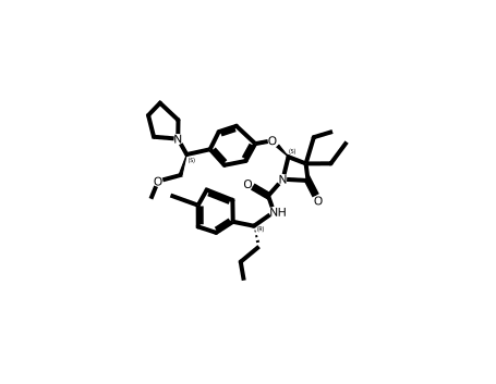 CCC[C@@H](NC(=O)N1C(=O)C(CC)(CC)[C@@H]1Oc1ccc([C@@H](COC)N2CCCC2)cc1)c1ccc(C)cc1